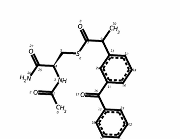 CC(=O)N[C@H](CSC(=O)C(C)c1cccc(C(=O)c2ccccc2)c1)C(N)=O